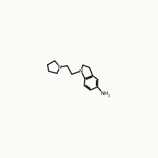 Nc1ccc2c(c1)CCN2CCN1CCCC1